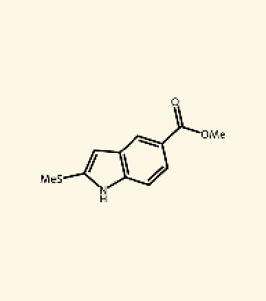 COC(=O)c1ccc2[nH]c(SC)cc2c1